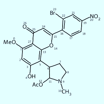 COc1cc(O)c(C2CCN(C)C2OC(C)=O)c2oc(-c3ccc([N+](=O)[O-])cc3Br)cc(=O)c12